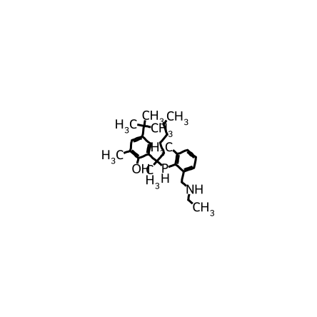 CCCCCC(C)(Pc1c(C)cccc1CNCC)c1cc(C(C)(C)C)cc(C)c1O